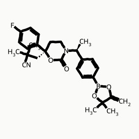 C=C1OB(c2ccc([C@H](C)N3CC[C@](CC(C)(C)C#N)(c4ccc(F)cc4)OC3=O)cc2)OC1(C)C